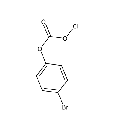 O=C(OCl)Oc1ccc(Br)cc1